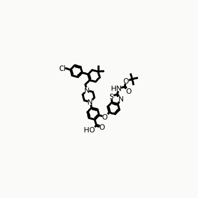 CC1(C)CCC(CN2CCN(c3ccc(C(=O)O)c(Oc4ccc5nc(NC(=O)OC(C)(C)C)sc5c4)c3)CC2)=C(c2ccc(Cl)cc2)C1